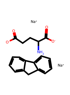 NC(CCC(=O)[O-])C(=O)[O-].[Na+].[Na+].c1ccc2c(c1)Cc1ccccc1-2